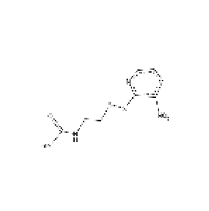 CCCC(=O)NCCSSc1ncccc1[N+](=O)[O-]